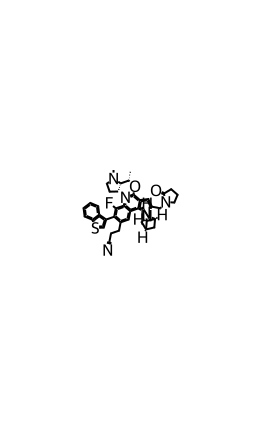 C[C@H](Oc1nc2c(F)c(-c3csc4ccccc34)c(CCC#N)cc2c2c1cc(CN1CCCC1=O)n2[C@H]1[C@H]2CN[C@@H]1C2)[C@@H]1CCCN1C